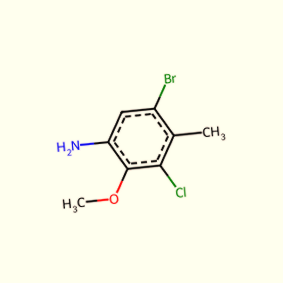 COc1c(N)cc(Br)c(C)c1Cl